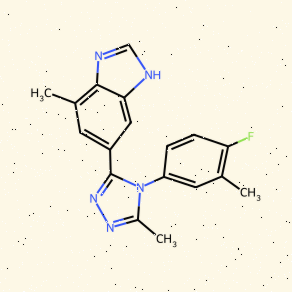 Cc1cc(-n2c(C)nnc2-c2cc(C)c3nc[nH]c3c2)ccc1F